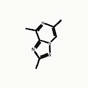 Cc1cn2nc(C)nc2c(C)n1